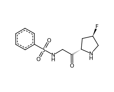 O=C(CNS(=O)(=O)c1ccccc1)[C@@H]1C[C@@H](F)CN1